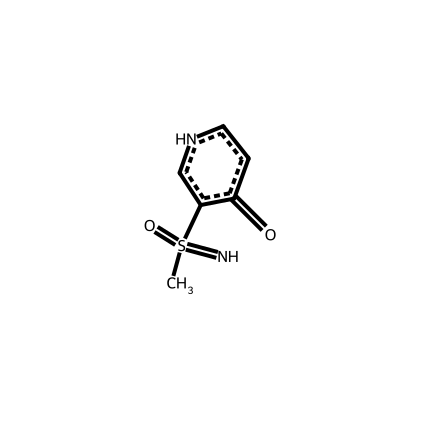 CS(=N)(=O)c1c[nH]ccc1=O